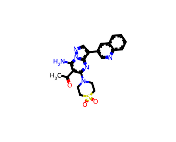 CC(=O)c1c(N2CCS(=O)(=O)CC2)nc2c(-c3cnc4ccccc4c3)cnn2c1N